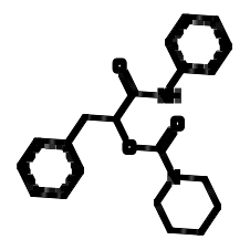 O=C(Nc1ccccc1)C(Cc1ccccc1)OC(=O)N1CCCCC1